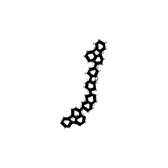 c1ccc2c(c1)-c1cccc3c(-c4ccc5ccc(-c6ccc7c(c6)oc6cc(-c8ccc9c%10c(cccc8%10)-c8ccccc8-9)ccc67)cc5c4)ccc-2c13